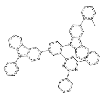 Cc1ccccc1-c1ccc2c(c1)c1ccccc1n2-c1ccc(-c2ccc3c(c2)c2ccccc2n3-c2ccccc2)cc1-c1nc(-c2ccccc2)nc(-c2ccccc2)n1